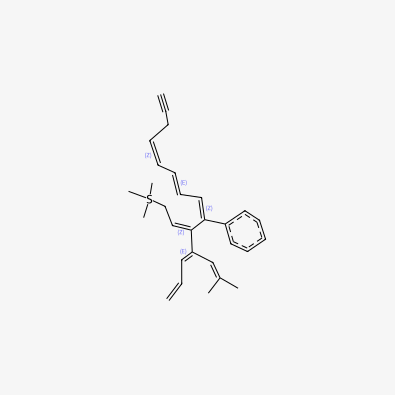 C#CC\C=C/C=C/C=C(C(=C/CS(C)(C)C)\C(C=C(C)C)=C\C=C)/c1ccccc1